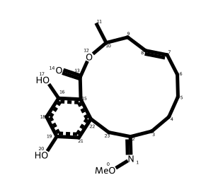 CON=C1CCCC/C=C/CC(C)OC(=O)c2c(O)cc(O)cc2C1